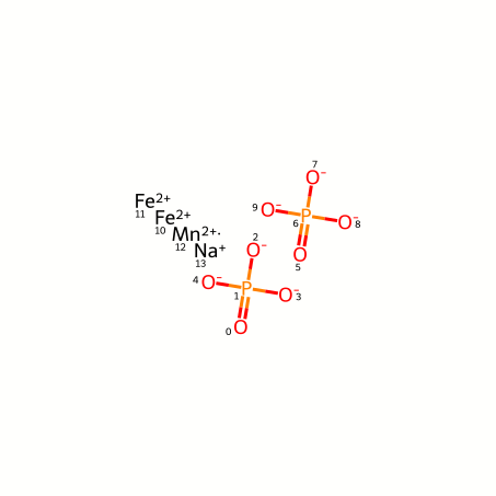 O=P([O-])([O-])[O-].O=P([O-])([O-])[O-].[Fe+2].[Fe+2].[Mn+2].[Na+]